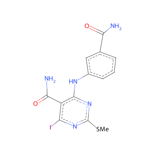 CSc1nc(I)c(C(N)=O)c(Nc2cccc(C(N)=O)c2)n1